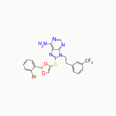 Nc1ncnc2c1nc(SC1=COC(c3ccccc3Br)O1)n2CCc1cccc(C(F)(F)F)c1